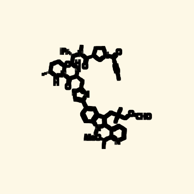 CC#CC(=O)N1CC[C@H](C(=O)N(C)[C@H](C(=O)N[C@@H](Cc2nc(-c3ccc4c(c3)c(CC(C)(C)COC=O)c(-c3cccnc3[C@H](C)OC)n4C)cs2)C(=O)N2CCC[C@@H](C)N2)C(C)C)C1